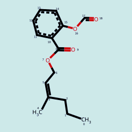 CCCC(C)=CCOC(=O)c1ccccc1OC=O